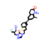 Cc1cc(-c2ccc3sc(Cn4cnn(C/C(=C/F)CN)c4=O)cc3c2)cc2c1NC(=O)CC2